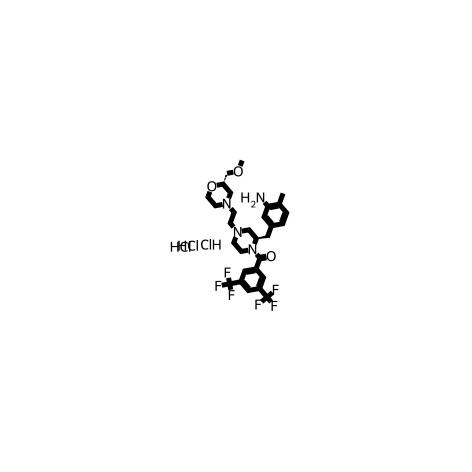 COC[C@@H]1CN(CCN2CCN(C(=O)c3cc(C(F)(F)F)cc(C(F)(F)F)c3)[C@H](Cc3ccc(C)c(N)c3)C2)CCO1.Cl.Cl.Cl